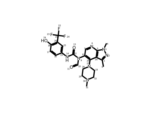 Cc1nn(C)c2ncc(N(C=O)C(=O)Nc3ccc(O)c(C(F)(F)F)c3)c(N3CCN(C)CC3)c12